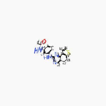 CC(=O)Nc1cccc(Nc2ncc3c(n2)-c2ccsc2CC3)c1